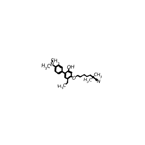 CCc1cc(-c2ccc(N(C)C)cc2)c(O)cc1OCCCCCC(C)(C)C#N